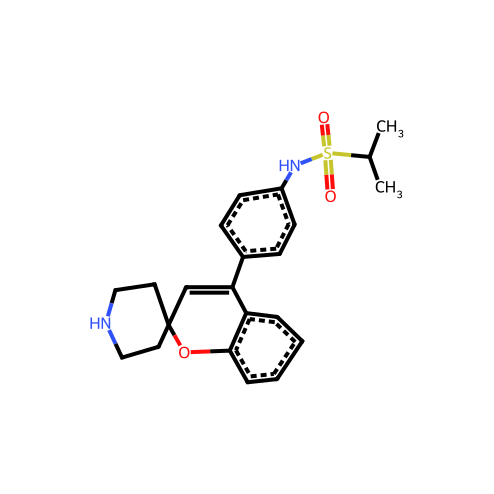 CC(C)S(=O)(=O)Nc1ccc(C2=CC3(CCNCC3)Oc3ccccc32)cc1